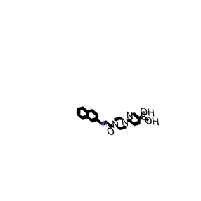 O=C(/C=C/c1ccc2ccccc2c1)N1CCN(c2ccc(B(O)O)cn2)CC1